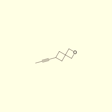 CC#CC1CC2(COC2)C1